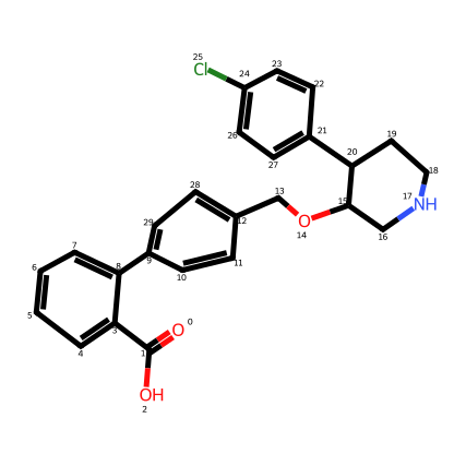 O=C(O)c1ccccc1-c1ccc(COC2CNCCC2c2ccc(Cl)cc2)cc1